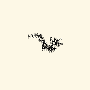 Cc1nc2c(F)cc(-c3nc(Nc4ccc(N5CCC(N(C)CCO)CC5)cn4)ncc3F)cc2n1C(C)C